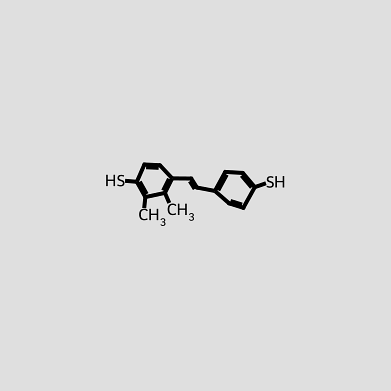 Cc1c(S)ccc(C=Cc2ccc(S)cc2)c1C